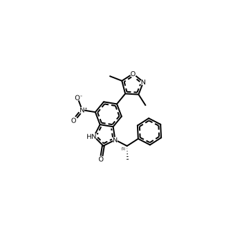 Cc1noc(C)c1-c1cc([N+](=O)[O-])c2[nH]c(=O)n([C@@H](C)c3ccccc3)c2c1